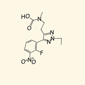 CCn1nc(CCN(C)C(=O)O)c(-c2cccc([N+](=O)[O-])c2F)n1